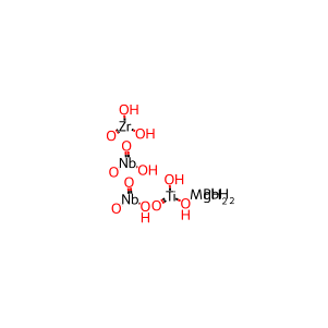 [MgH2].[O]=[Nb](=[O])[OH].[O]=[Nb](=[O])[OH].[O]=[Ti]([OH])[OH].[O]=[Zr]([OH])[OH].[PbH2]